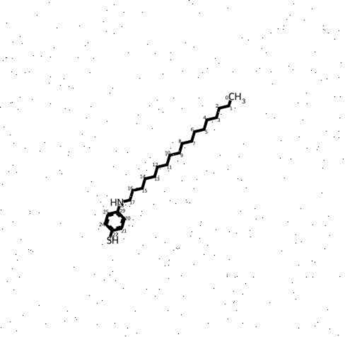 CCCCCCCCCCCCCCCCCCNc1ccc(S)cc1